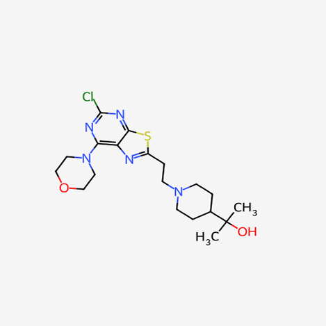 CC(C)(O)C1CCN(CCc2nc3c(N4CCOCC4)nc(Cl)nc3s2)CC1